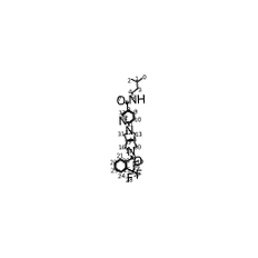 CC(C)CCNC(=O)c1ccc(N2CC3=C(CN(C(=O)c4ccccc4C(F)(F)F)C3)C2)nc1